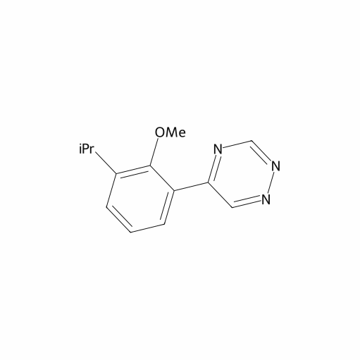 COc1c(-c2cnncn2)cccc1C(C)C